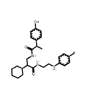 CC(C(=O)NCC(C(=O)NCCNc1ccc(F)cc1)C1CCCCC1)c1ccc(O)cc1